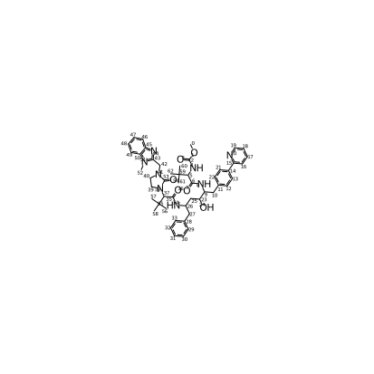 COC(=O)NC(C(=O)NC(Cc1ccc(-c2ccccn2)cc1)C(O)CC(Cc1ccccc1)NC(=O)C(N1CCN(Cc2nc3ccccc3n2C)C1=O)C(C)(C)C)C(C)(C)C